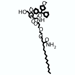 CCCCCCCCCCCCCCC(CCOCCOCCC(=O)N[C@@H](COC(c1ccccc1)(c1ccc(OC)cc1)c1ccc(OC)cc1)C(=O)N1CCC(CO)CC1)C(N)=O